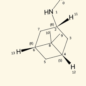 CC(C)N[C@@H]1C[C@@H]2C[C@H](C1)C2(C)C